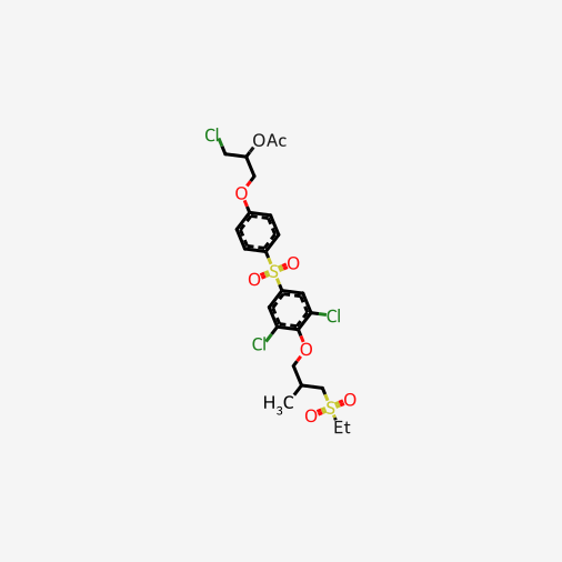 CCS(=O)(=O)CC(C)COc1c(Cl)cc(S(=O)(=O)c2ccc(OCC(CCl)OC(C)=O)cc2)cc1Cl